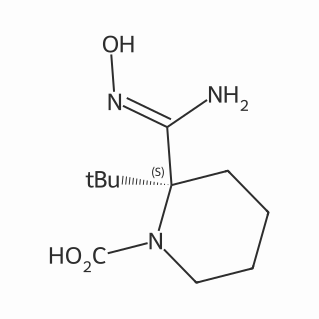 CC(C)(C)[C@]1(C(N)=NO)CCCCN1C(=O)O